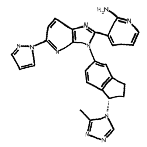 Cc1nncn1[C@H]1CCc2cc(-n3c(-c4cccnc4N)nc4ccc(-n5cccn5)nc43)ccc21